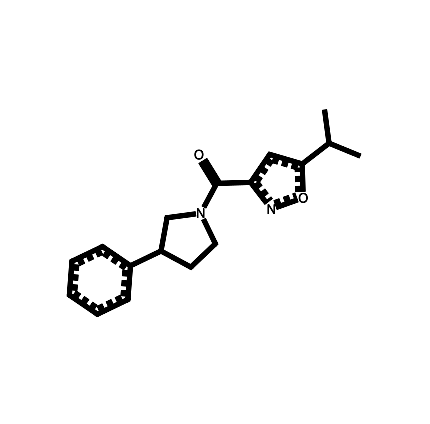 CC(C)c1cc(C(=O)N2CCC(c3ccccc3)C2)no1